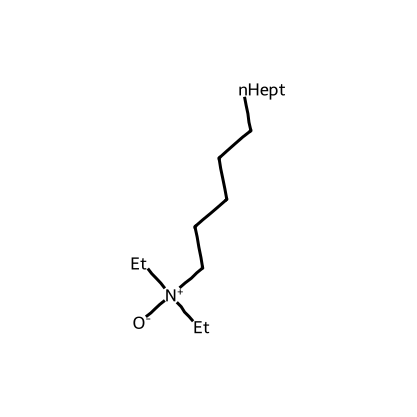 CCCCCCCCCCCC[N+]([O-])(CC)CC